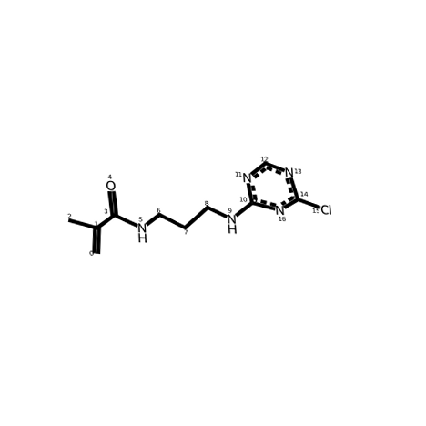 C=C(C)C(=O)NCCCNc1ncnc(Cl)n1